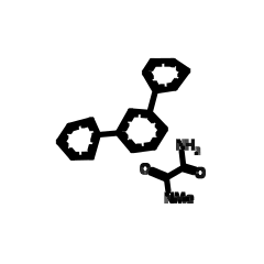 CNC(=O)C(N)=O.c1ccc(-c2cccc(-c3ccccc3)c2)cc1